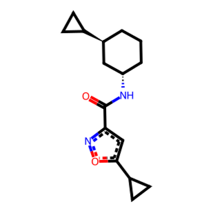 O=C(N[C@H]1CCC[C@H](C2CC2)C1)c1cc(C2CC2)on1